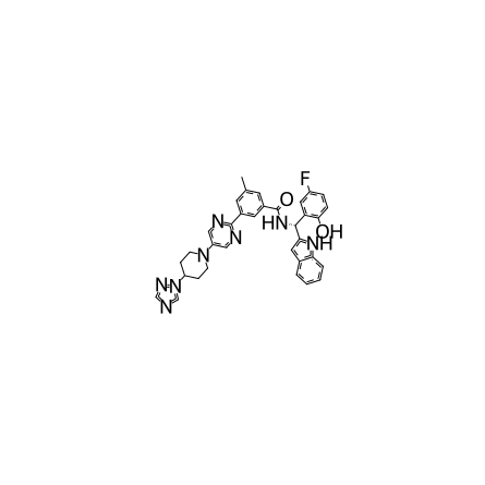 Cc1cc(C(=O)N[C@@H](c2cc3ccccc3[nH]2)c2cc(F)ccc2O)cc(-c2ncc(N3CCC(n4cncn4)CC3)cn2)c1